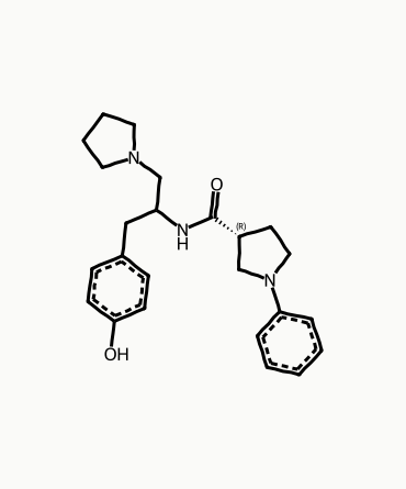 O=C(NC(Cc1ccc(O)cc1)CN1CCCC1)[C@@H]1CCN(c2ccccc2)C1